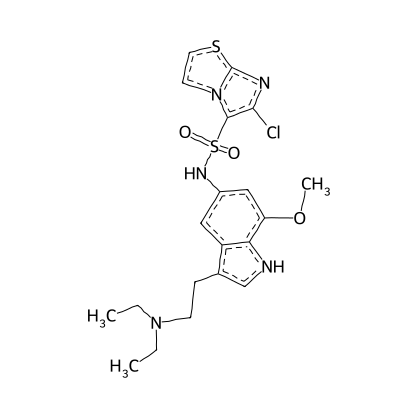 CCN(CC)CCc1c[nH]c2c(OC)cc(NS(=O)(=O)c3c(Cl)nc4sccn34)cc12